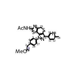 CO/N=C/c1ccc(-n2nc(-c3ccc(C)nc3)c3c2-c2sc(NC(C)=O)nc2CS3)cc1